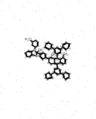 CC1CC=CC(N2c3ccccc3NC2(C)c2ccc(C3CCC4=C(c5cc(-c6ccccc6)cc(-c6ccccc6)c5)C5=CC=CC(C)C5C(c5cc(-c6ccccc6)cc(-c6ccccc6)c5)C4[C@H]3C)cc2)C1